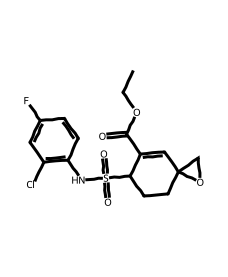 CCOC(=O)C1=CC2(CCC1S(=O)(=O)Nc1ccc(F)cc1Cl)CO2